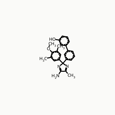 COc1c(C)cc(C2(c3cccc(-c4cccc(O)c4)c3)N=C(C)C(N)=N2)cc1C